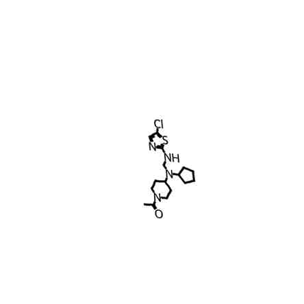 CC(=O)N1CCC(N(CNc2ncc(Cl)s2)C2CCCC2)CC1